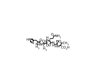 C[C@@H](O)[C@H](NC(=O)CNC(=O)[C@H](CCC(N)=O)NC(=O)C(C)(C)NC(=O)[C@@H](N)Cc1c[nH]cn1)C(=O)O